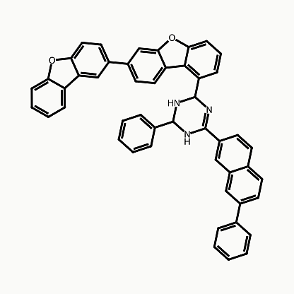 c1ccc(-c2ccc3ccc(C4=NC(c5cccc6oc7cc(-c8ccc9oc%10ccccc%10c9c8)ccc7c56)NC(c5ccccc5)N4)cc3c2)cc1